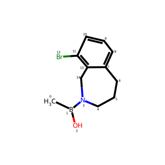 CB(O)N1CCCc2cccc(Br)c2C1